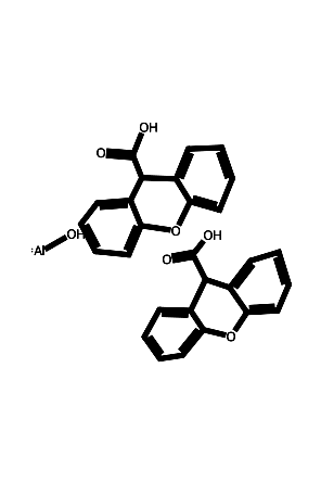 O=C(O)C1c2ccccc2Oc2ccccc21.O=C(O)C1c2ccccc2Oc2ccccc21.[OH][Al]